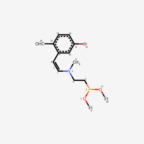 CCOP(CCN(C)/C=C\c1cc(Br)ccc1C=O)OCC